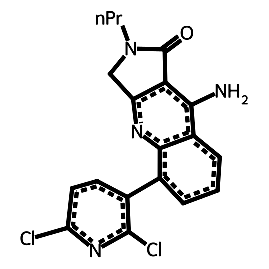 CCCN1Cc2nc3c(-c4ccc(Cl)nc4Cl)cccc3c(N)c2C1=O